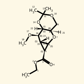 CCOC(=O)[C@@H]1[C@H]2O[C@@H]3COC(C)(C)O[C@H]3[C@H](OC)[C@H]21